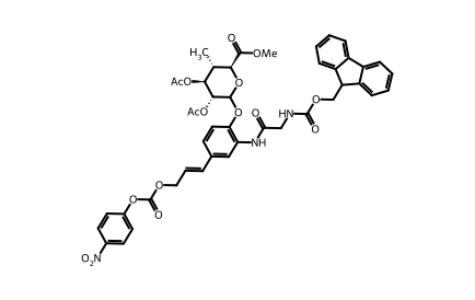 COC(=O)[C@H]1OC(Oc2ccc(/C=C/COC(=O)Oc3ccc([N+](=O)[O-])cc3)cc2NC(=O)CNC(=O)OCC2c3ccccc3-c3ccccc32)[C@H](OC(C)=O)[C@@H](OC(C)=O)[C@@H]1C